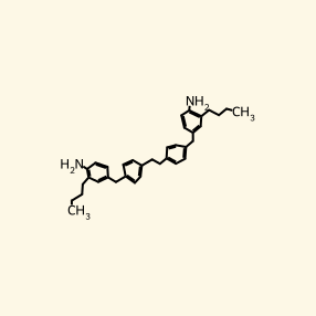 CCCCc1cc(Cc2ccc(CCc3ccc(Cc4ccc(N)c(CCCC)c4)cc3)cc2)ccc1N